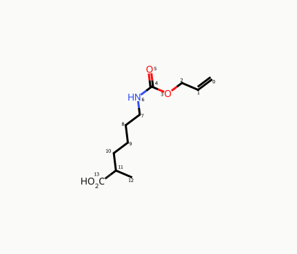 C=CCOC(=O)NCCCCC(C)C(=O)O